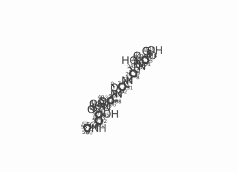 COc1cc(N=Nc2ccc(N=Nc3ccc(S(=O)(=O)O)cc3S(=O)(=O)O)c(C)c2)c(C)cc1N=Nc1cc(OC)c(N=Nc2c(S(=O)(=O)O)cc3cc(Nc4ccccc4)ccc3c2O)cc1C